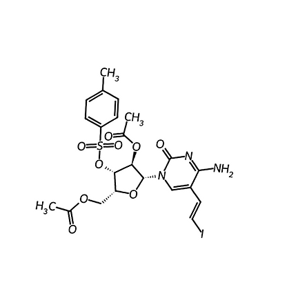 CC(=O)OC[C@H]1O[C@@H](n2cc(C=CI)c(N)nc2=O)[C@H](OC(C)=O)[C@H]1OS(=O)(=O)c1ccc(C)cc1